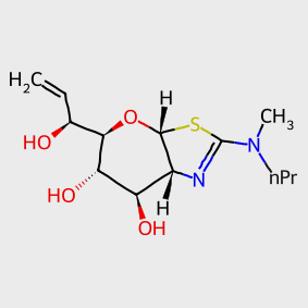 C=C[C@H](O)[C@H]1O[C@@H]2SC(N(C)CCC)=N[C@@H]2[C@@H](O)[C@@H]1O